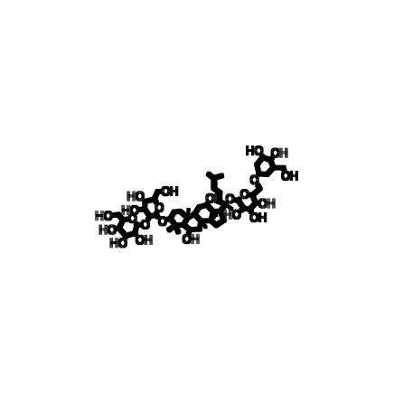 CC(C)=CCC[C@](C)(OC1OC(COC2CC(O)C(O)C(CO)C2)C(O)C(O)C1O)C1CC[C@]2(C)C1C(O)CC1[C@@]3(C)CCC(OC4OC(CO)C(O)C(O)C4OC4OC(CO)C(O)C(O)C4O)C(C)(C)C3C(O)C[C@]12C